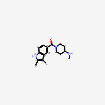 CNC1CCN(C(=O)c2ccc3[nH]c(C)c(C)c3c2)CC1